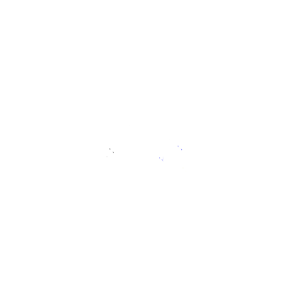 O=[N+]([O-])c1cccc([C@@H]2CN3CCSC3=N2)c1